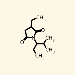 CCC1CC(=O)N(C(CC)C(C)C)C1=O